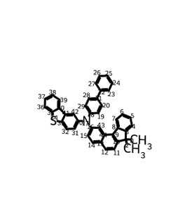 CC1(C)c2ccccc2-c2c1ccc1ccc(N(c3ccc(-c4ccccc4)cc3)c3ccc4sc5ccccc5c4c3)cc21